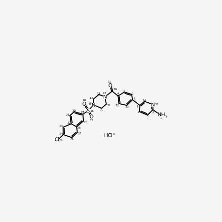 Cl.Nc1ccc(-c2ccc(C(=O)N3CCN(S(=O)(=O)c4ccc5cc(Cl)ccc5c4)CC3)cc2)cn1